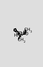 C=CC1CC1(CCC=C[PH](=O)OCC)NC(=O)OCc1ccccc1